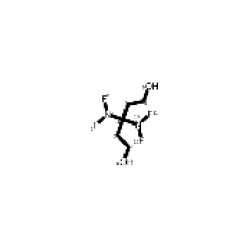 OCCC(CCO)(N(F)F)N(F)F